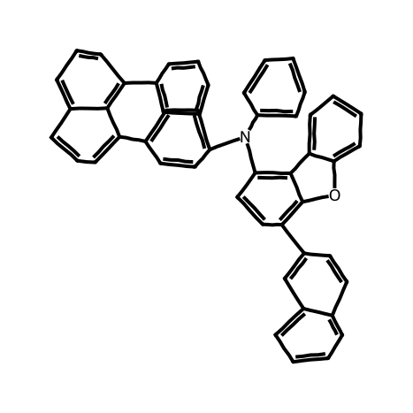 c1ccc(-c2cccc3cccc(-c4ccc(N(c5ccccc5)c5ccc(-c6ccc7ccccc7c6)c6oc7ccccc7c56)cc4)c23)cc1